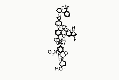 CCOc1nc2[nH]cc(F)c2cc1Oc1cc(N2CCC3(CC2)CN([C@H]2CCC[C@H]2c2ccccc2C(C)(F)F)C3)ccc1C(=O)NS(=O)(=O)c1cc2c(c([N+](=O)[O-])c1)N[C@@H]([C@H]1CC[C@](C)(O)CC1)CO2